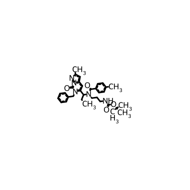 CCC(c1cc2cc(C)nn2c(=O)n1Cc1ccccc1)N(CCCNC(=O)OC(C)(C)C)C(=O)c1ccc(C)cc1